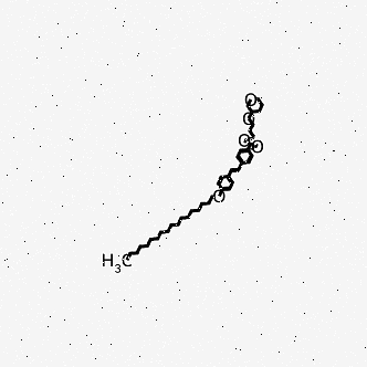 CCCCCCCCCCCCCCCCCCOc1ccc(C=Cc2ccc(S(=O)(=O)CCCOC3CCCOC3)cc2)cc1